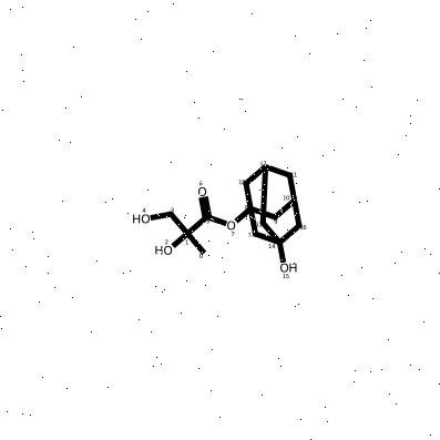 CC(O)(CO)C(=O)OC12CC3CC(CC(O)(C3)C1)C2